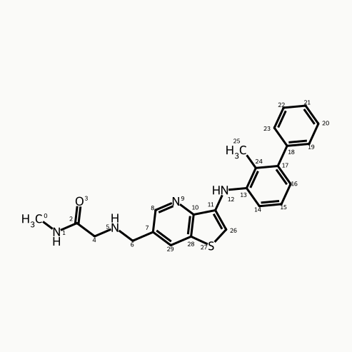 CNC(=O)CNCc1cnc2c(Nc3cccc(-c4ccccc4)c3C)csc2c1